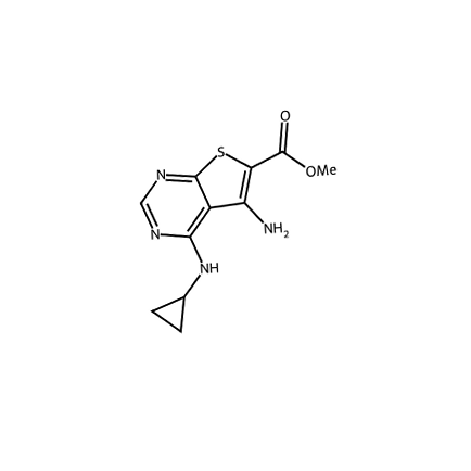 COC(=O)c1sc2ncnc(NC3CC3)c2c1N